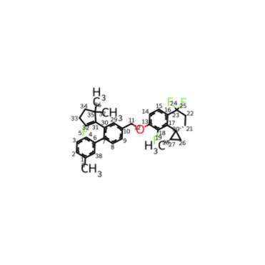 Cc1ccc(F)c(-c2ccc(COc3ccc4c(c3F)[C@@]3(CCC4(F)F)C[C@@H]3C)cc2C2=CCCC2(C)C)c1